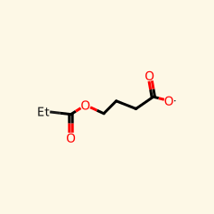 CCC(=O)OCCCC([O])=O